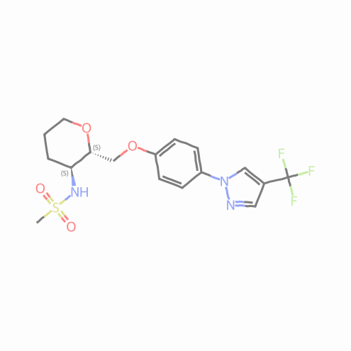 CS(=O)(=O)N[C@H]1CCCO[C@@H]1COc1ccc(-n2cc(C(F)(F)F)cn2)cc1